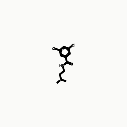 CN(C)CCNC(=O)c1cc(Cl)cc(Cl)c1